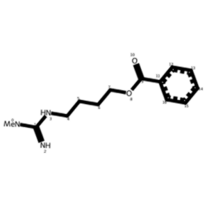 CNC(=N)NCCCCOC(=O)c1ccccc1